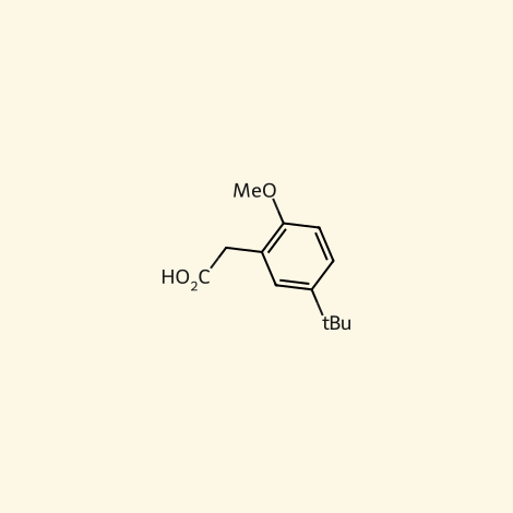 COc1ccc(C(C)(C)C)cc1CC(=O)O